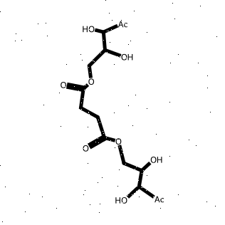 CC(=O)C(O)C(O)COC(=O)CCC(=O)OCC(O)C(O)C(C)=O